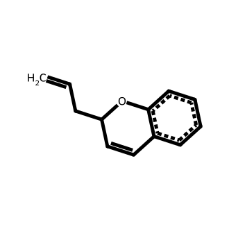 C=CCC1C=Cc2ccccc2O1